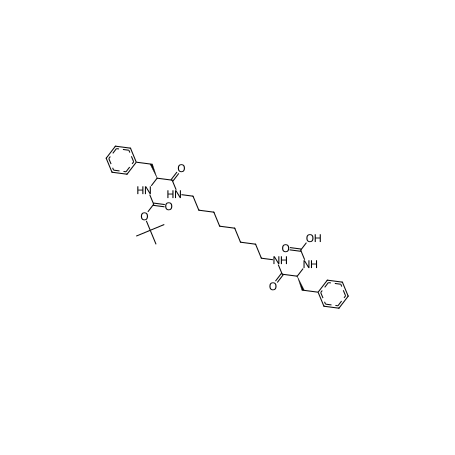 CC(C)(C)OC(=O)N[C@@H](Cc1ccccc1)C(=O)NCCCCCCCCNC(=O)[C@H](Cc1ccccc1)NC(=O)O